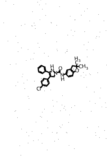 CC1(C)Cc2cc(NC(=O)N3CC(c4ccc(Cl)cc4)=C(c4ccccc4)N3)ccc2O1